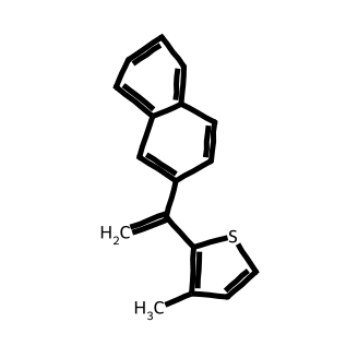 C=C(c1ccc2ccccc2c1)c1sccc1C